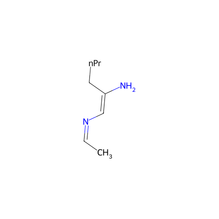 C/C=N\C=C(\N)CCCC